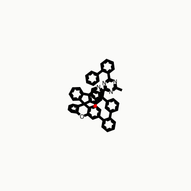 Cc1nc(-c2ccc3c(c2)-c2ccccc2C32c3ccccc3Oc3cc(-c4ccccc4-c4cccc(-c5cnccc5C)c4)ccc32)nc(-c2ccccc2-c2ccccc2)n1